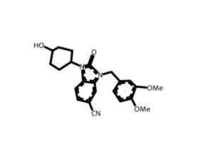 COc1ccc(Cn2c(=O)n(C3CCC(O)CC3)c3ccc(C#N)cc32)cc1OC